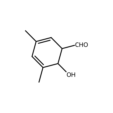 CC1=CC(C=O)C(O)C(C)=C1